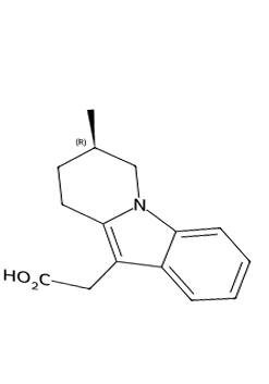 C[C@@H]1CCc2c(CC(=O)O)c3ccccc3n2C1